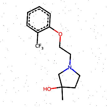 CC1(O)CCN(CCOc2ccccc2C(F)(F)F)C1